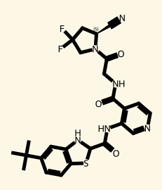 CC(C)(C)c1ccc2c(c1)NC(C(=O)Nc1cnccc1C(=O)NCC(=O)N1CC(F)(F)C[C@H]1C#N)S2